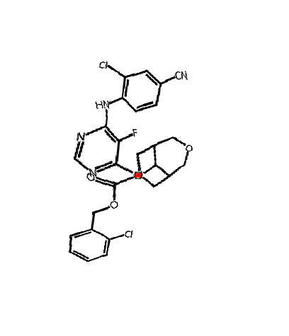 N#Cc1ccc(Nc2ncnc(OC3C4COCC3CN(C(=O)OCc3ccccc3Cl)C4)c2F)c(Cl)c1